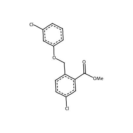 COC(=O)c1cc(Cl)ccc1COc1cccc(Cl)c1